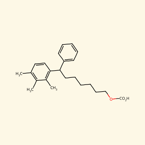 Cc1ccc(C(CCCCCCOC(=O)O)c2ccccc2)c(C)c1C